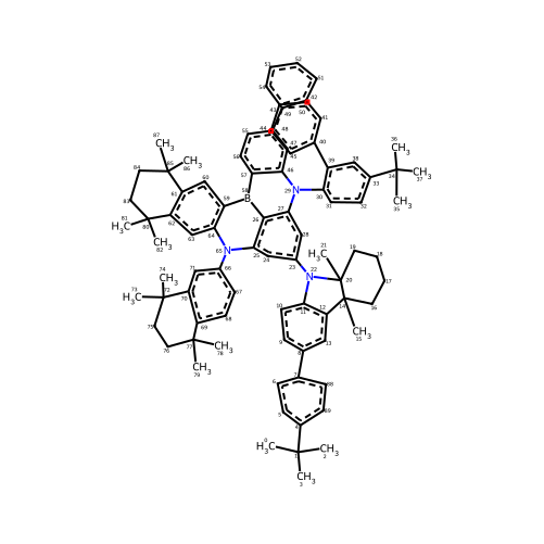 CC(C)(C)c1ccc(-c2ccc3c(c2)C2(C)CCCCC2(C)N3c2cc3c4c(c2)N(c2ccc(C(C)(C)C)cc2-c2ccccc2)c2cc(-c5ccccc5)ccc2B4c2cc4c(cc2N3c2ccc3c(c2)C(C)(C)CCC3(C)C)C(C)(C)CCC4(C)C)cc1